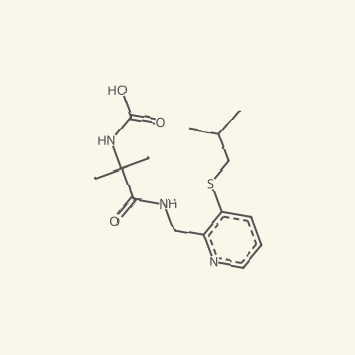 CC(C)CSc1cccnc1CNC(=O)C(C)(C)NC(=O)O